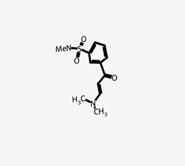 CNS(=O)(=O)c1cccc(C(=O)C=CN(C)C)c1